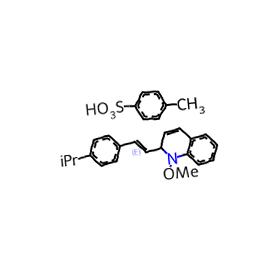 CON1c2ccccc2C=CC1/C=C/c1ccc(C(C)C)cc1.Cc1ccc(S(=O)(=O)O)cc1